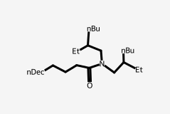 CCCCCCCCCCCCCC(=O)N(CC(CC)CCCC)CC(CC)CCCC